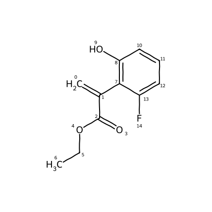 C=C(C(=O)OCC)c1c(O)cccc1F